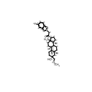 COC[C@@]1(O)CC[C@H]2[C@@H](CCC3[C@@H]2CCC2(C)[C@@H](C(=O)Cn4nc5ccc(F)cc5n4)CC[C@@H]32)C1